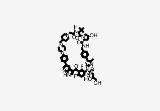 Cc1ncsc1-c1ccc(CNC(=O)[C@@H]2C[C@@H](O)CN2C(=O)[C@@H](NC(=O)CN2CCC(CN3CCN(c4ccc(-c5cnc6[nH]cc(C(=O)c7c(F)ccc(NS(=O)(=O)CC(O)CO)c7F)c6c5)cc4)CC3)CC2)C(C)(C)C)cc1